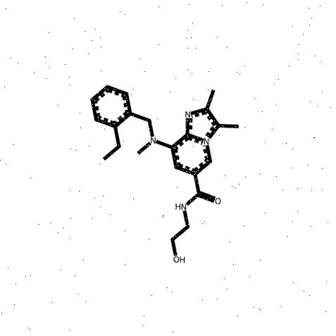 CCc1ccccc1CN(C)c1cc(C(=O)NCCO)cn2c(C)c(C)nc12